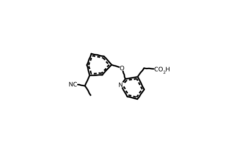 CC(C#N)c1cccc(Oc2ncccc2CC(=O)O)c1